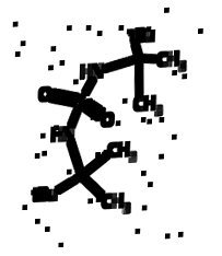 CC(C)(C)C(C)(C)NS(=O)(=O)NC(C)(C)C(C)(C)C